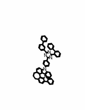 c1ccc(-c2cccc(-c3nc(-c4ccc(-n5c6ccc7c8c9c(ccc%10c%11ccccc%11n(c%11cccc5c%11c86)c%109)CCC7)cc4)nc(-c4ccccc4-c4ccccc4)n3)c2)cc1